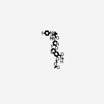 CNC(=O)c1cc2c(Oc3ncc(NC(=O)C4(C(=O)Nc5ccc(F)cc5)CC4)cc3F)ccnc2cc1OCCOC(C)=O